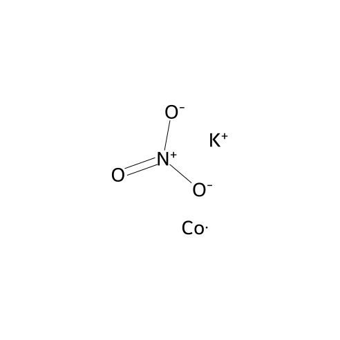 O=[N+]([O-])[O-].[Co].[K+]